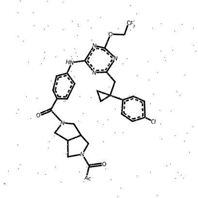 CC(=O)C(=O)N1CC2CN(C(=O)c3ccc(Nc4nc(CC5(c6ccc(Cl)cc6)CC5)nc(OCC(F)(F)F)n4)cc3)CC2C1